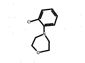 Clc1c[c]ccc1N1CCOCC1